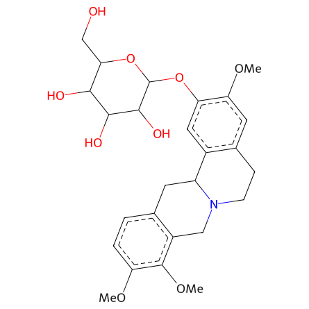 COc1cc2c(cc1OC1OC(CO)C(O)C(O)C1O)C1Cc3ccc(OC)c(OC)c3CN1CC2